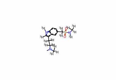 [2H]c1c(C([2H])([2H])C([2H])([2H])N(C)C([2H])([2H])[2H])c2cc(C([2H])([2H])S(=O)(=O)N([2H])C([2H])([2H])[2H])ccc2n1[2H]